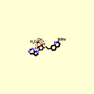 CNc1ccc2ccc(CC[C@H]3C[C@@H](n4ccc5cncnc54)[C@@H]4OC(C)(C)O[C@H]34)cc2n1